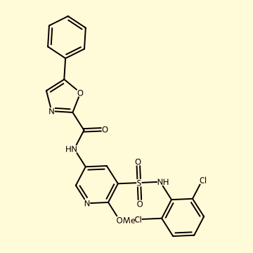 COc1ncc(NC(=O)c2ncc(-c3ccccc3)o2)cc1S(=O)(=O)Nc1c(Cl)cccc1Cl